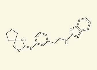 c1cc(CCNc2nc3ccccc3s2)cc(/N=C2\NC3(CCCC3)CS2)c1